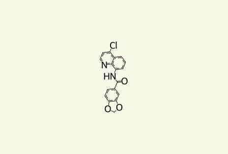 O=C(Nc1cccc2c(Cl)ccnc12)c1ccc2c(c1)OCO2